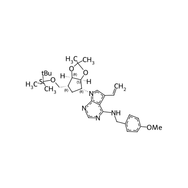 C=Cc1cn([C@@H]2C[C@H](CO[Si](C)(C)C(C)(C)C)[C@H]3OC(C)(C)O[C@H]32)c2ncnc(NCc3ccc(OC)cc3)c12